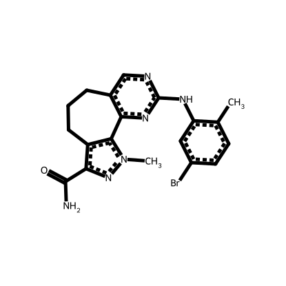 Cc1ccc(Br)cc1Nc1ncc2c(n1)-c1c(c(C(N)=O)nn1C)CCC2